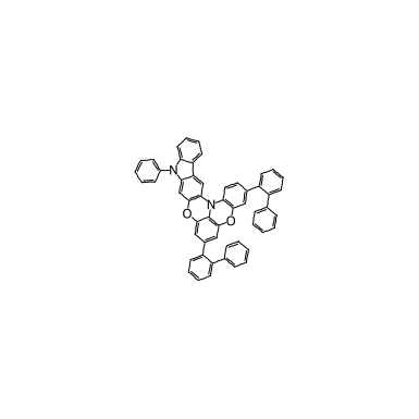 c1ccc(-c2ccccc2-c2ccc3c(c2)Oc2cc(-c4ccccc4-c4ccccc4)cc4c2N3c2cc3c5ccccc5n(-c5ccccc5)c3cc2O4)cc1